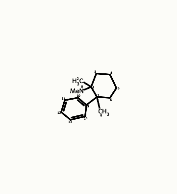 CNC1(C)CCCCC1(C)c1ccccc1